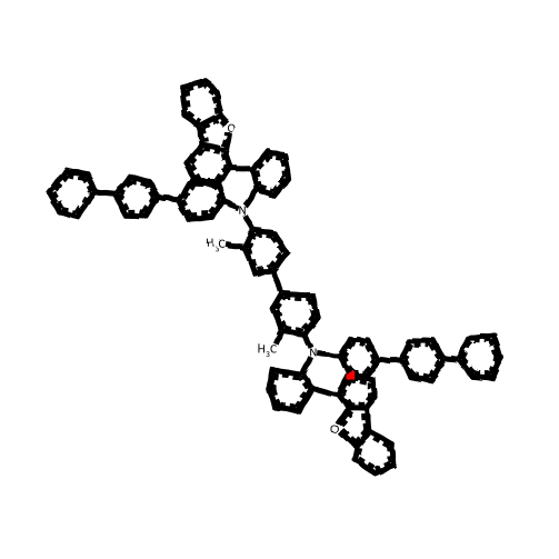 Cc1cc(-c2ccc(N(c3ccc(-c4ccc(-c5ccccc5)cc4)cc3)c3ccccc3-c3cccc4c3oc3ccccc34)c(C)c2)ccc1N(c1ccc(-c2ccc(-c3ccccc3)cc2)cc1)c1ccccc1-c1cccc2c1oc1ccccc12